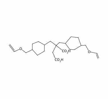 C=COCC1CCC(CC(CC(=O)O)(CC2CCC(COC=C)CC2)C(=O)O)CC1